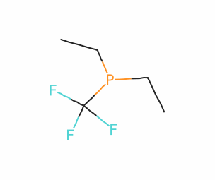 CCP(CC)C(F)(F)F